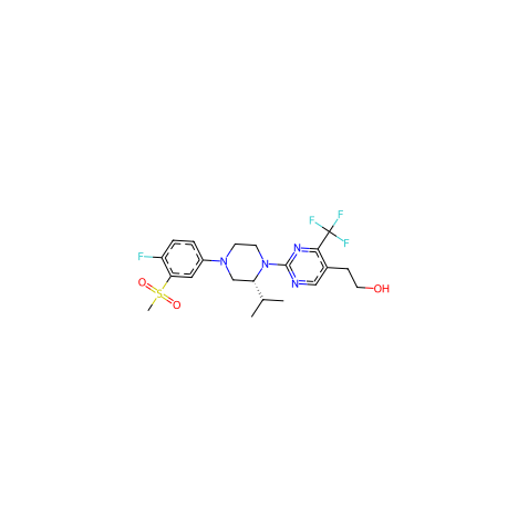 CC(C)[C@@H]1CN(c2ccc(F)c(S(C)(=O)=O)c2)CCN1c1ncc(CCO)c(C(F)(F)F)n1